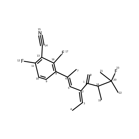 C=C(C(=C/C)/C=C(\C)c1ccc(F)c(C#N)c1F)C(C)C(C)(C)F